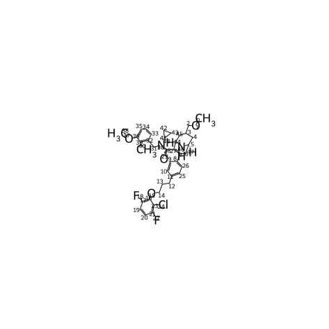 COCC1C[C@H]2CC(c3ccc(CCCOc4c(F)ccc(F)c4Cl)cc3)=C(C(=O)N(Cc3cccc(OC)c3C)C3CC3)[C@@H](C1)N2